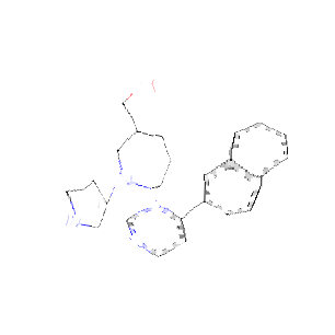 OCC1CCCN([C@]2(c3nccc(-c4ccc5ccccc5c4)n3)CCNC2)C1